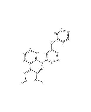 COC=C(C(=O)OC)c1cccnc1Oc1cccc(Oc2ncccn2)c1